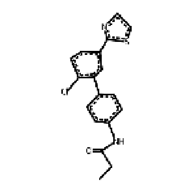 CCC(=O)Nc1ccc(-c2cc(-c3nccs3)ccc2Cl)cc1